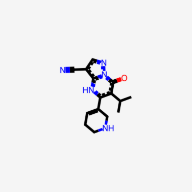 CC(C)c1c(C2=CCCNC2)[nH]c2c(C#N)cnn2c1=O